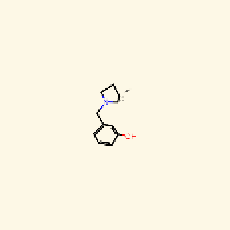 C[C@H]1CCN(Cc2cccc(O)c2)C1